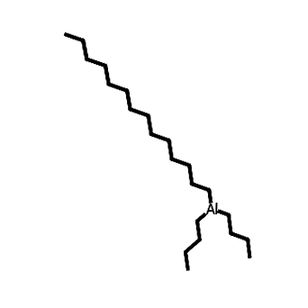 CCCCCCCCCCCCC[CH2][Al]([CH2]CCC)[CH2]CCC